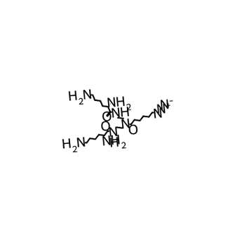 [N-]=[N+]=NCCCCCC(=O)N(CCNC(=O)[C@@H](N)CCCCN)CCNC(=O)[C@@H](N)CCCCN